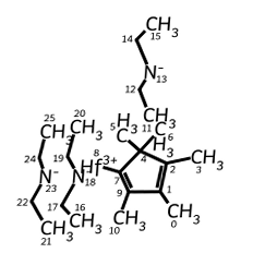 CC1=C(C)C(C)(C)[C]([Hf+3])=C1C.CC[N-]CC.CC[N-]CC.CC[N-]CC